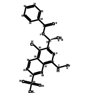 CC(C)Nc1nc([C@@H](C)OC(=O)c2ccccc2)c(Cl)c2cnc(S(C)(=O)=O)nc12